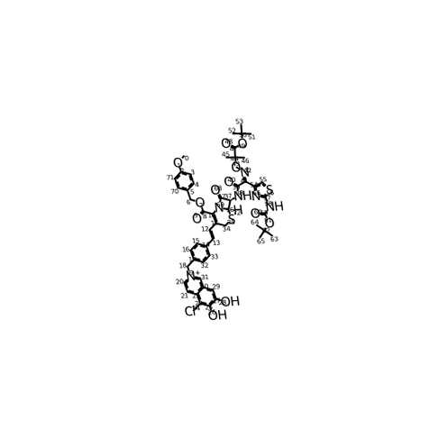 COc1ccc(COC(=O)C2=C(/C=C/c3ccc(C[n+]4ccc5c(Cl)c(O)c(O)cc5c4)cc3)CS[C@@H]3[C@H](NC(=O)/C(=N\OC(C)(C)C(=O)OC(C)(C)C)c4csc(NC(=O)OC(C)(C)C)n4)C(=O)N23)cc1